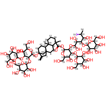 C=C1CC23CCC4C(C)(C(=O)OC5OC(CO)C(O)C(OC6OC(CO)C(O)C(O)C6O)C5OC(O)C(O)C(OC5OC(CO)C(O)C(O)C5O)C(O)C(C)I)CCCC4(C)C2CCC1(OC1OC(CO)C(O)C(OC2OC(CO)C(O)C(O)C2O)C1OC1OC(CO)C(O)C(O)C1O)C3